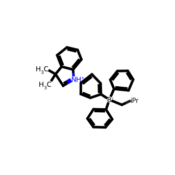 CC(C)C[B-](c1ccccc1)(c1ccccc1)c1ccccc1.CC1(C)C=[NH+]c2ccccc21